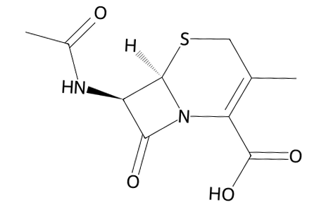 CC(=O)N[C@@H]1C(=O)N2C(C(=O)O)=C(C)CS[C@H]12